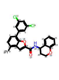 CC(C)c1ccc(-c2cc(Cl)cc(Cl)c2)c2oc(C(=O)NC3CCOc4ccccc43)cc12